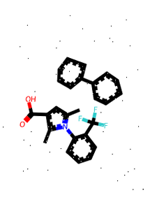 Cc1cc(C(=O)O)c(C)n1-c1ccccc1C(F)(F)F.c1ccc(-c2ccccc2)cc1